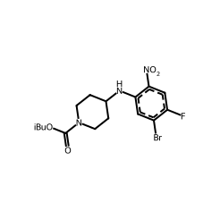 CC(C)COC(=O)N1CCC(Nc2cc(Br)c(F)cc2[N+](=O)[O-])CC1